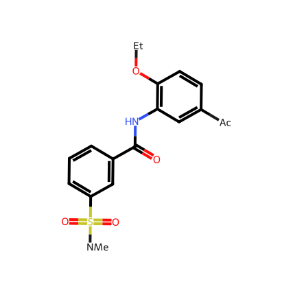 CCOc1ccc(C(C)=O)cc1NC(=O)c1cccc(S(=O)(=O)NC)c1